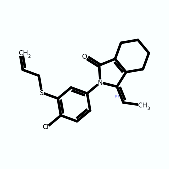 C=CCSc1cc(N2C(=O)C3=C(CCCC3)/C2=C\C)ccc1Cl